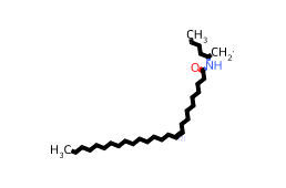 [CH2]C(CCCC)NC(=O)CCCCCCCC/C=C\CCCCCCCCCCCCCCC